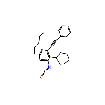 CCCCC.S=C=Nc1cccc(C#Cc2ccccc2)c1C1CCCCC1